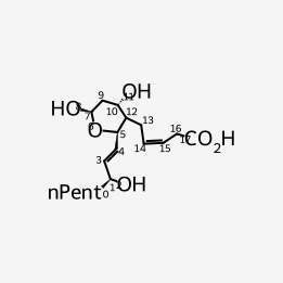 CCCCC[C@H](O)/C=C/[C@H]1O[C@@H](O)C[C@H](O)C1C/C=C\CC(=O)O